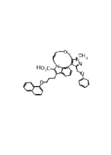 Cn1nc(COc2ccccc2)c2c1COC/C=C\Cn1c(C(=O)O)c(CCCOc3cccc4ccccc34)c3cccc-2c31